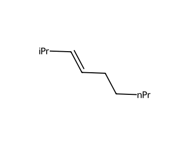 CCCCCC=CC(C)C